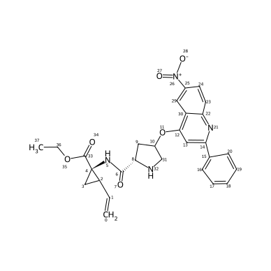 C=CC1C[C@]1(NC(=O)[C@@H]1CC(Oc2cc(-c3ccccc3)nc3ccc([N+](=O)[O-])cc23)CN1)C(=O)OCC